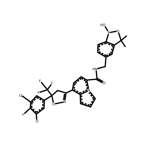 CC1(C)OB(O)c2ccc(CNC(=O)c3ccc(C4=NOC(c5cc(Cl)c(F)c(Cl)c5)(C(F)(F)F)C4)c4cccn34)cc21